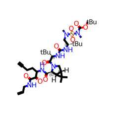 C#CCCC(NC(=O)[C@@H]1[C@@H]2[C@H](CN1C(=O)[C@@H](NC(=O)N[C@H](CN(C)S(=O)(=O)N(C)C(=O)OC(C)(C)C)C(C)(C)C)C(C)(C)C)C2(C)C)C(=O)C(=O)NCC=C